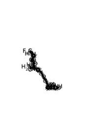 NC(=O)c1nn(-c2ccc(COCCOCCOCCNc3cccc4c3C(=O)N(C3CCC(=O)NC3=O)C4)cc2)cc1NC(=O)c1coc(-c2ccnc(NCC(F)(F)F)c2)n1